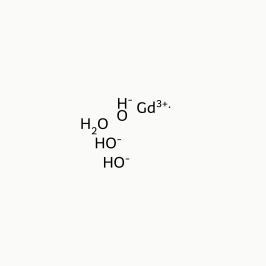 O.[Gd+3].[OH-].[OH-].[OH-]